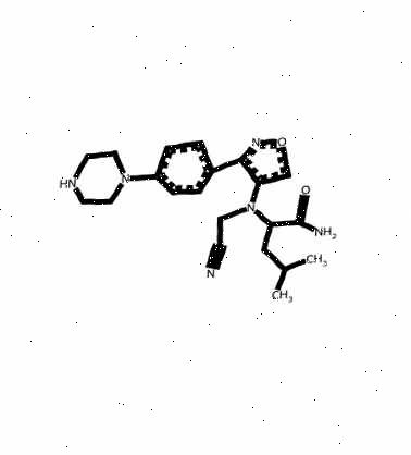 CC(C)CC(C(N)=O)N(CC#N)c1conc1-c1ccc(N2CCNCC2)cc1